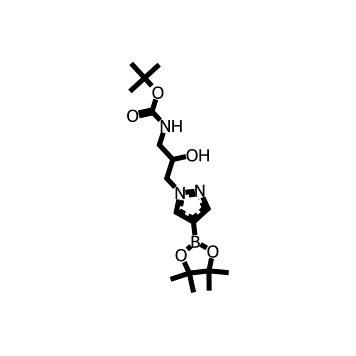 CC(C)(C)OC(=O)NCC(O)Cn1cc(B2OC(C)(C)C(C)(C)O2)cn1